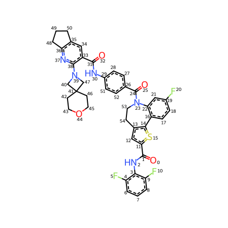 O=C(Nc1c(F)cccc1F)c1cc2c(s1)-c1ccc(F)cc1N(C(=O)c1ccc(NC(=O)c3cc4c(nc3N3CC5(CCOCC5)C3)CCC4)cc1)CC2